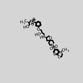 C[C@H](CO)NS(=O)(=O)c1cccc(OC[C@@H](O)CN[C@H]2COC3(CCN(S(=O)(=O)c4cnc5c(c4)N(C)CCO5)CC3)C2)c1